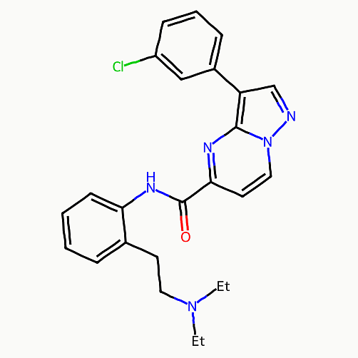 CCN(CC)CCc1ccccc1NC(=O)c1ccn2ncc(-c3cccc(Cl)c3)c2n1